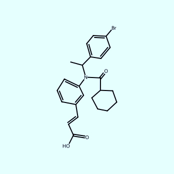 CC(c1ccc(Br)cc1)N(C(=O)C1CCCCC1)c1cccc(C=CC(=O)O)c1